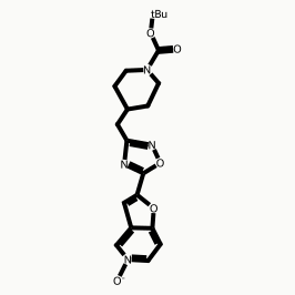 CC(C)(C)OC(=O)N1CCC(Cc2noc(-c3cc4c[n+]([O-])ccc4o3)n2)CC1